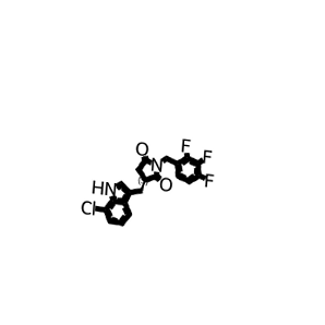 O=C1C[C@H](Cc2c[nH]c3c(Cl)cccc23)C(=O)N1Cc1ccc(F)c(F)c1F